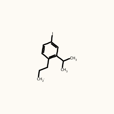 [CH2]CCc1ccc(I)cc1C(C)C